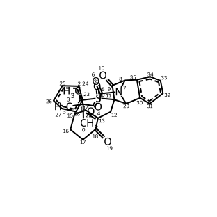 CC(C)(C)OC(=O)N1C2C(=O)C(CC3=CCCCC3=O)(S(=O)(=O)c3ccccc3)C1c1ccccc12